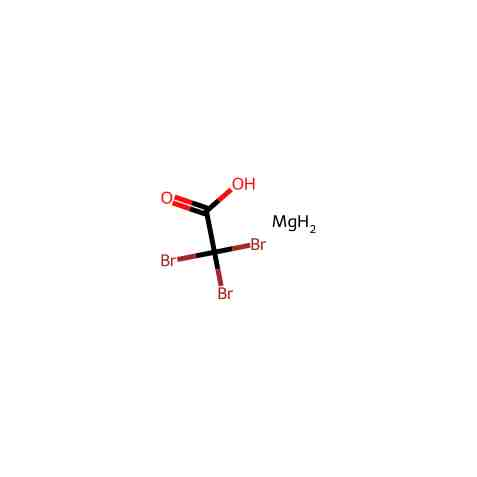 O=C(O)C(Br)(Br)Br.[MgH2]